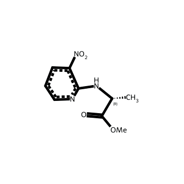 COC(=O)[C@@H](C)Nc1ncccc1[N+](=O)[O-]